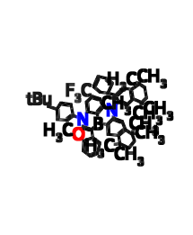 Cc1cc(CC(C)(C)C)ccc1N1c2cc(C(F)(F)F)cc3c2B(c2cc4c(cc2N3c2cc3c(cc2C2(C)C=CC=CC2)C(C)(C)CCC3(C)C)C(C)(C)CCC4(C)C)c2c1oc1ccccc21